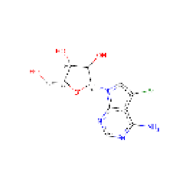 Nc1ncnc2c1c(Br)cn2[C@@H]1O[C@H](CO)[C@H](O)C1O